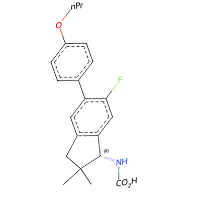 CCCOc1ccc(-c2cc3c(cc2F)[C@H](NC(=O)O)C(C)(C)C3)cc1